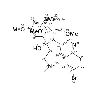 COc1cc(C(O)(CCN(C)C)C(c2cccnc2OC)c2cc3cc(Br)ccc3nc2OC)cc(OC)n1